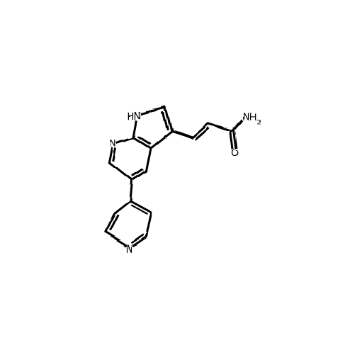 NC(=O)C=Cc1c[nH]c2ncc(-c3ccncc3)cc12